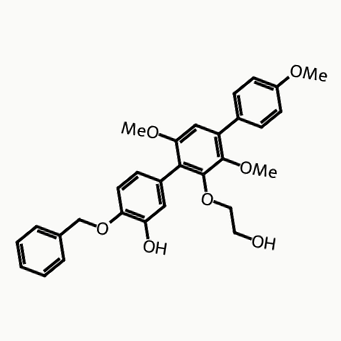 COc1ccc(-c2cc(OC)c(-c3ccc(OCc4ccccc4)c(O)c3)c(OCCO)c2OC)cc1